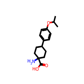 CC(C)Oc1ccc(C2CCC(N)(C(=O)O)CC2)cc1